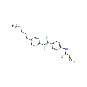 C=CC(=O)Nc1ccc(/C(F)=C(\F)c2ccc(CCCCC)cc2)cc1